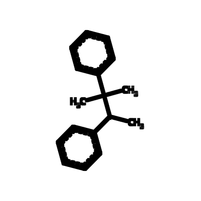 C[C](c1ccccc1)C(C)(C)c1ccccc1